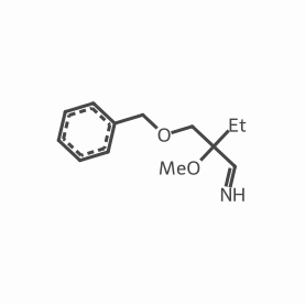 CCC(C=N)(COCc1ccccc1)OC